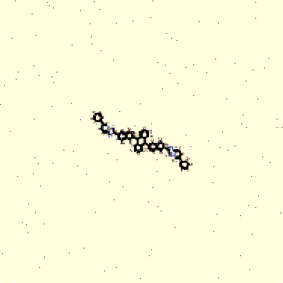 c1ccc(-c2ccc3nc(-c4ccc5cc(-c6c7ccccc7c(-c7ccc8cc(-c9cn%10cc(-c%11ccccc%11)ccc%10n9)ccc8c7)c7ccccc67)ccc5c4)cn3c2)cc1